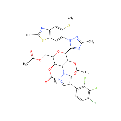 CSc1cc2nc(C)sc2cc1-n1nc(C)nc1[C@@H]1OC(COC(C)=O)[C@H](OC(C)=O)C(n2cc(-c3ccc(Cl)c(F)c3F)cn2)C1OC(C)=O